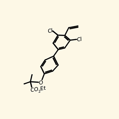 C=Cc1c(Cl)cc(-c2ccc(OC(C)(C)C(=O)OCC)cc2)cc1Cl